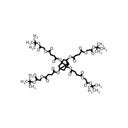 CC(C)(C)OC(=O)COC(=O)CCC(=O)OC12CC3(OC(=O)CCC(=O)OCC(=O)OC(C)(C)C)CC(OC(=O)CCC(=O)OCC(=O)OC(C)(C)C)(C1)CC(OC(=O)CCC(=O)OCC(=O)OC(C)(C)C)(C2)C3